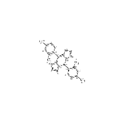 FC(F)(F)c1ccc(-c2c3ncoc3c(-c3ccc(C(F)(F)F)cc3C(F)(F)F)c3ncoc23)c(C(F)(F)F)c1